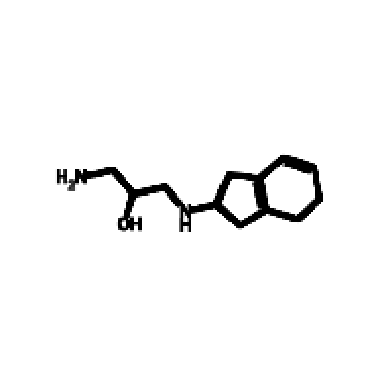 NCC(O)CNC1CC2=C(CCC=C2)C1